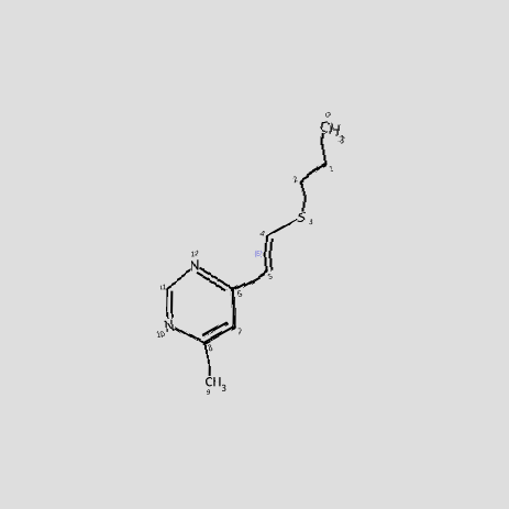 CCCS/C=C/c1cc(C)ncn1